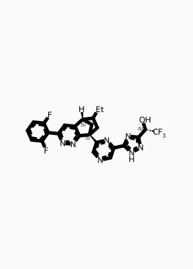 CCC1C[C@@]2(c3cncc(-c4nc([C@H](O)C(F)(F)F)n[nH]4)n3)C[C@@H]1c1cc(-c3c(F)cccc3F)nnc12